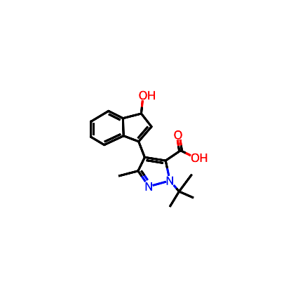 Cc1nn(C(C)(C)C)c(C(=O)O)c1C1=CC(O)c2ccccc21